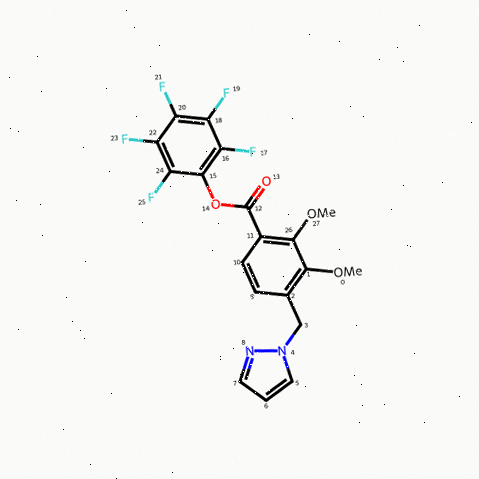 COc1c(Cn2cccn2)ccc(C(=O)Oc2c(F)c(F)c(F)c(F)c2F)c1OC